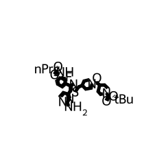 CCCS(=O)(=O)Nc1cccc(-c2nc(C3CCN(C(=O)C4CCN(C(=O)OC(C)(C)C)CC4)CC3)sc2-c2ccnc(N)n2)c1F